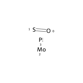 O=S.[Mo].[P]